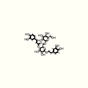 O=C(/C=C/c1ccc(O)c(O)c1)O[C@H]1[C@H](O)[C@@H](O)[C@H](OCCc2ccc(O)c(O)c2)O[C@@H]1CO[C@@H]1O[C@H](CO)[C@@H](O)[C@H](O)[C@H]1O